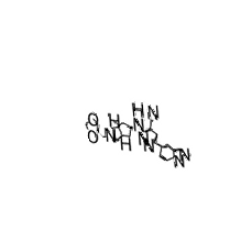 Cn1cc2cc(-c3cc(C#N)c(N[C@@H]4C[C@@H]5CN(C[C@H]6COCCO6)C[C@@H]5C4)nn3)ccc2n1